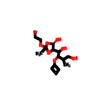 CC(CO)[C@@H](OC1CCC1)C(O)C1OC(C)(OCCBr)O[C@@H]1O